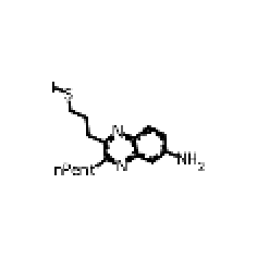 CCCCCc1nc2cc(N)ccc2nc1CCCSI